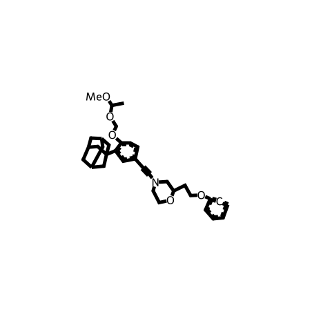 COC(C)OCOc1ccc(C#CN2CCOC(CCOc3ccccc3)C2)cc1C12CC3CC(CC(C3)C1)C2